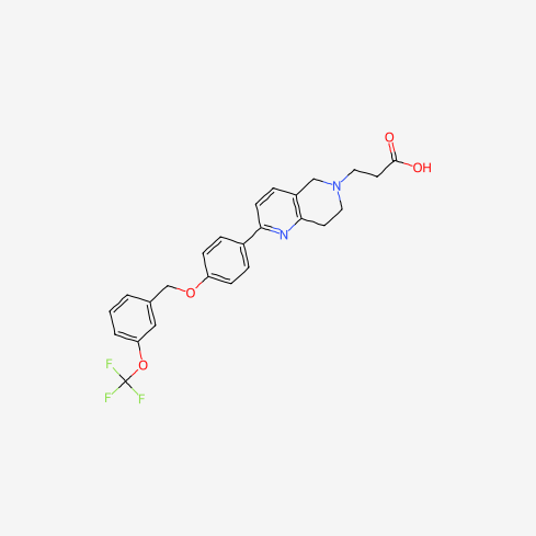 O=C(O)CCN1CCc2nc(-c3ccc(OCc4cccc(OC(F)(F)F)c4)cc3)ccc2C1